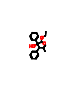 CCOC(=O)C(O)(c1ccccc1)C(c1ccccc1)C(C)C